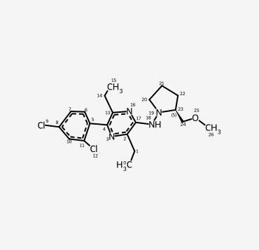 CCc1nc(-c2ccc(Cl)cc2Cl)c(CC)nc1NN1CCC[C@H]1COC